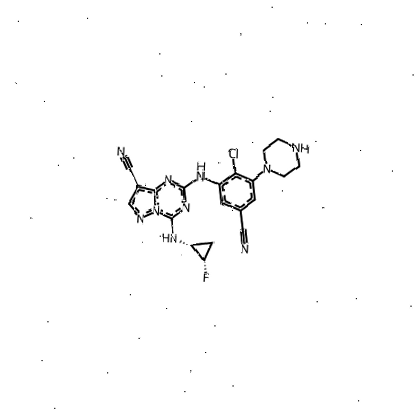 N#Cc1cc(Nc2nc(N[C@@H]3C[C@@H]3F)n3ncc(C#N)c3n2)c(Cl)c(N2CCNCC2)c1